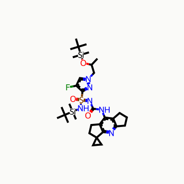 CC(Cn1cc(F)c(S(=O)(=NC(=O)Nc2c3c(nc4c2CCC42CC2)CCC3)N[Si](C)(C)C(C)(C)C)n1)O[Si](C)(C)C(C)(C)C